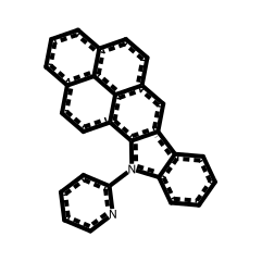 c1ccc(-n2c3ccccc3c3cc4ccc5cccc6ccc(c4c56)c32)nc1